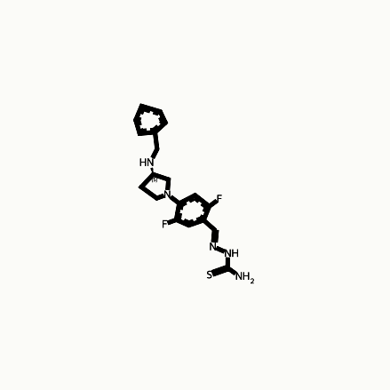 NC(=S)NN=Cc1cc(F)c(N2CC[C@H](NCc3ccccc3)C2)cc1F